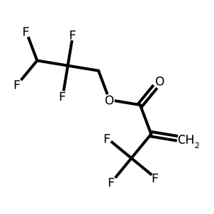 C=C(C(=O)OCC(F)(F)C(F)F)C(F)(F)F